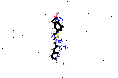 N[C@@H](CNc1ncc(-c2cc(F)c3c(c2)CC(=O)N3)s1)Cc1ccc(C(F)(F)F)nc1